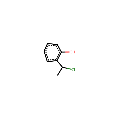 CC(Cl)c1ccccc1O